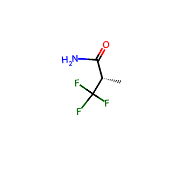 C[C@@H](C(N)=O)C(F)(F)F